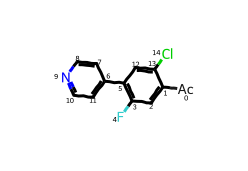 CC(=O)c1cc(F)c(-c2ccncc2)cc1Cl